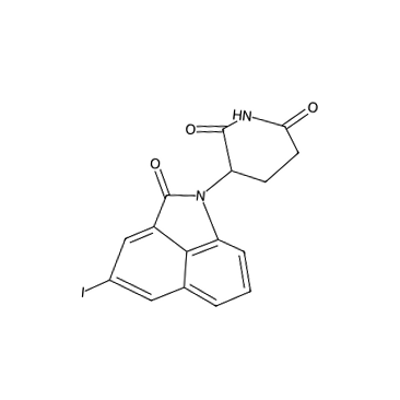 O=C1CCC(N2C(=O)c3cc(I)cc4cccc2c34)C(=O)N1